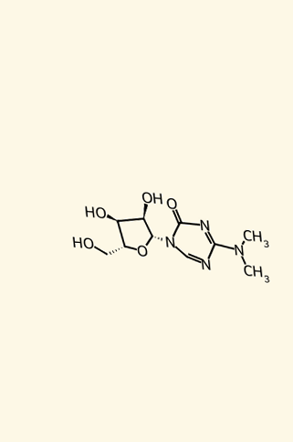 CN(C)c1ncn([C@@H]2O[C@H](CO)[C@@H](O)[C@H]2O)c(=O)n1